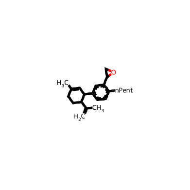 C=C(C)C1CCC(C)=CC1c1ccc(CCCCC)c(C2CO2)c1